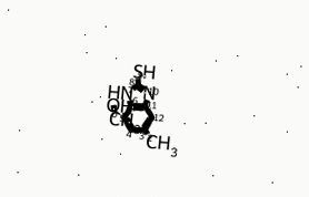 CO.Cc1ccc2[nH]c(S)nc2c1